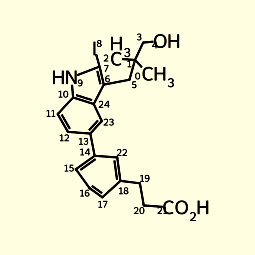 CC(C)(CO)Cc1c(I)[nH]c2ccc(-c3cccc(CCC(=O)O)c3)cc12